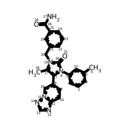 Cc1cccc(-n2c(-c3ccc4ncnn4c3)c(C)n(Cc3cccc(C(N)=O)c3)c2=O)c1